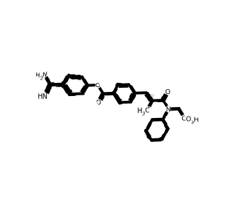 C/C(=C\c1ccc(C(=O)Oc2ccc(C(=N)N)cc2)cc1)C(=O)N(CC(=O)O)C1CCCCC1